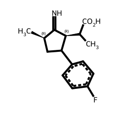 CC(C(=O)O)[C@@H]1C(=N)[C@H](C)CC1c1ccc(F)cc1